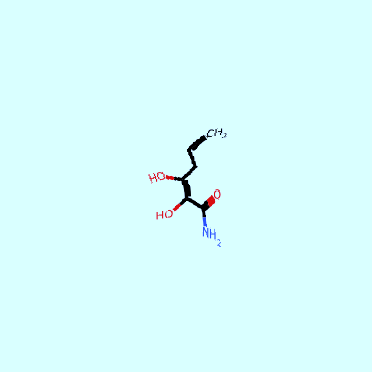 C=CC/C(O)=C(/O)C(N)=O